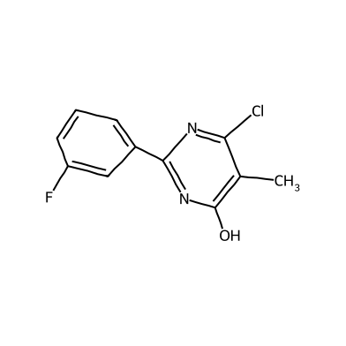 Cc1c(O)nc(-c2cccc(F)c2)nc1Cl